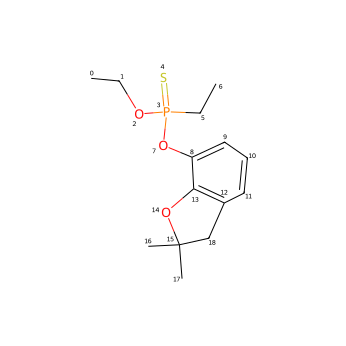 CCOP(=S)(CC)Oc1cccc2c1OC(C)(C)C2